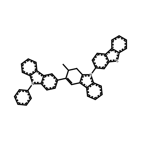 CC1Cc2c(c3ccccc3n2-c2ccc3c(c2)sc2ccccc23)C=C1c1ccc2c(c1)c1ccccc1n2-c1ccccc1